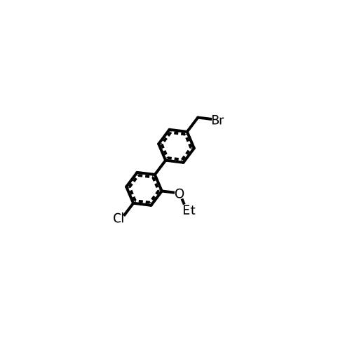 CCOc1cc(Cl)ccc1-c1ccc(CBr)cc1